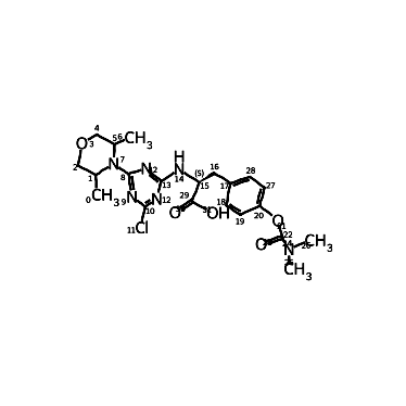 CC1COCC(C)N1c1nc(Cl)nc(N[C@@H](Cc2ccc(OC(=O)N(C)C)cc2)C(=O)O)n1